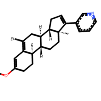 CCOC1=CC2=C(CC)C[C@@H]3[C@H](CC[C@]4(C)C(c5cccnc5)=CC[C@@H]34)[C@@]2(C)CC1